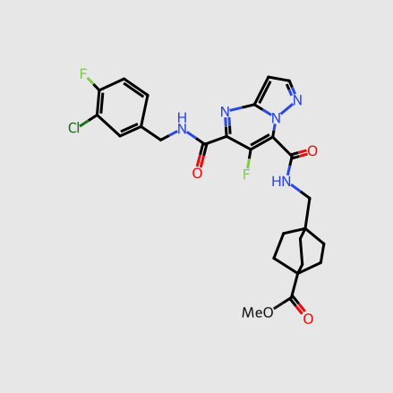 COC(=O)C12CCC(CNC(=O)c3c(F)c(C(=O)NCc4ccc(F)c(Cl)c4)nc4ccnn34)(CC1)CC2